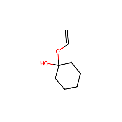 C=COC1(O)[CH]CCCC1